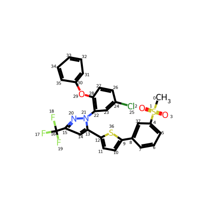 CS(=O)(=O)c1cccc(-c2ccc(-c3cc(C(F)(F)F)nn3-c3cc(Cl)ccc3Oc3ccccc3)s2)c1